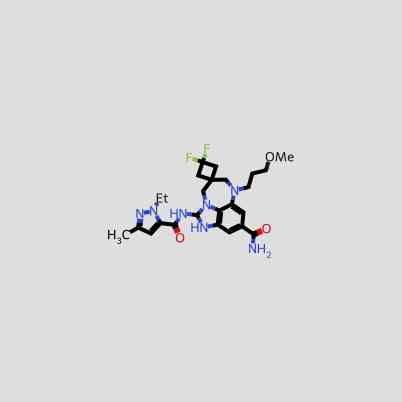 CCn1nc(C)cc1C(=O)NC1Nc2cc(C(N)=O)cc3c2N1CC1(CN3CCCOC)CC(F)(F)C1